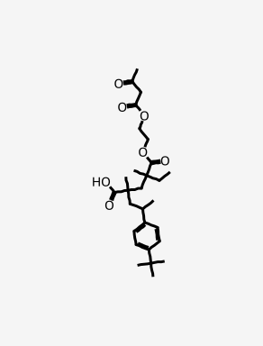 CCC(C)(CC(C)(CC(C)c1ccc(C(C)(C)C)cc1)C(=O)O)C(=O)OCCOC(=O)CC(C)=O